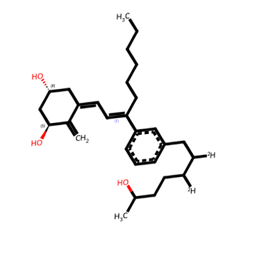 [2H]C(CCC(C)O)C([2H])Cc1cccc(/C(=C/C=C2C[C@@H](O)C[C@H](O)C2=C)CCCCCC)c1